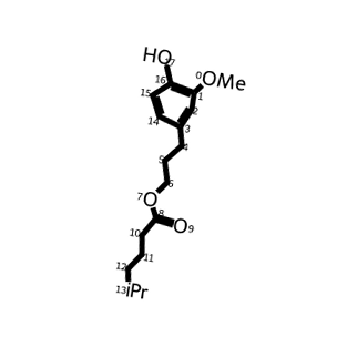 COc1cc(CCCOC(=O)CCCC(C)C)ccc1O